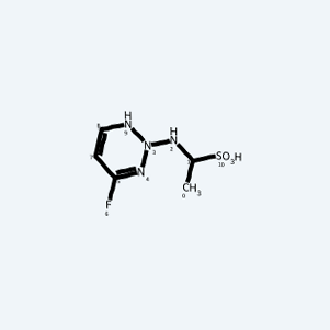 CC(NN1N=C(F)C=[C]N1)S(=O)(=O)O